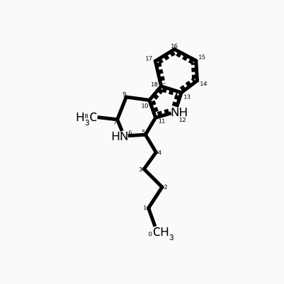 CCCCCC1NC(C)Cc2c1[nH]c1ccccc21